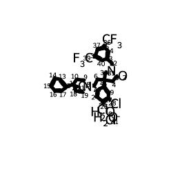 O.O.O=C1CC(CC[N+]23CCC(c4ccccc4)(CC2)CC3)(c2ccc(Cl)c(Cl)c2)CN1Cc1cc(C(F)(F)F)cc(C(F)(F)F)c1.[Cl-]